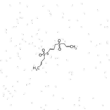 C=CCS(=O)(=O)C/C=C/SS(=O)(=O)C/C=C/C